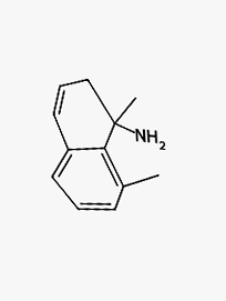 Cc1cccc2c1C(C)(N)CC=C2